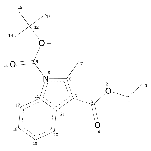 CCOC(=O)c1c(C)n(C(=O)OC(C)(C)C)c2ccccc12